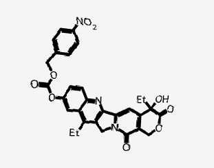 CCc1c2c(nc3ccc(OC(=O)OCc4ccc([N+](=O)[O-])cc4)cc13)-c1cc3c(c(=O)n1C2)COC(=O)C3(O)CC